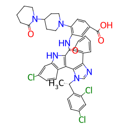 C[C@@H](c1ccc(Cl)cc1Cl)n1cnc(-c2ccccc2)c1-c1c(C(=O)Nc2cc(C(=O)O)ccc2N2CCC(N3CCCCC3=O)CC2)[nH]c2cc(Cl)ccc12